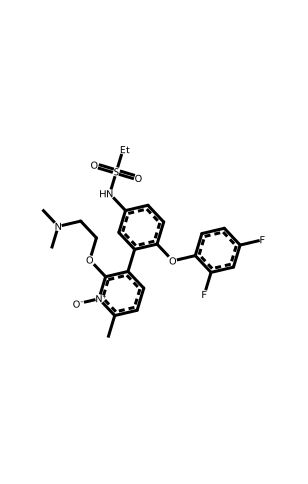 CCS(=O)(=O)Nc1ccc(Oc2ccc(F)cc2F)c(-c2ccc(C)[n+]([O-])c2OCCN(C)C)c1